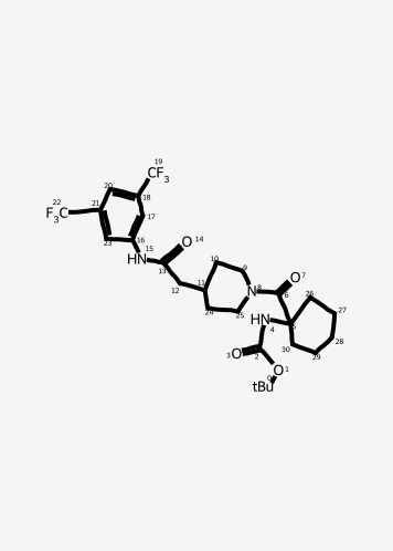 CC(C)(C)OC(=O)NC1(C(=O)N2CCC(CC(=O)Nc3cc(C(F)(F)F)cc(C(F)(F)F)c3)CC2)CCCCC1